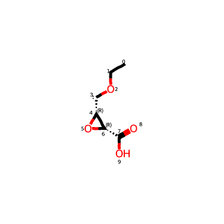 CCO[C][C@H]1O[C@H]1C(=O)O